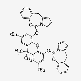 CC(C)(C)c1cc(OP2Oc3ccccc3Cc3cccn32)c2c(c1)C(C)(C)c1cc(C(C)(C)C)cc(OP3Oc4ccccc4Cc4cccn43)c1O2